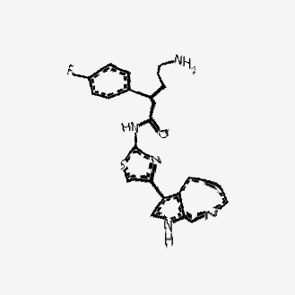 NCCC(C(=O)Nc1nc(-c2c[nH]c3ncccc23)cs1)c1ccc(F)cc1